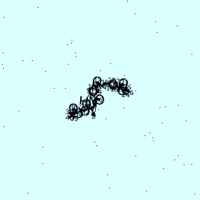 C#C[C@@H](CNC(=O)[C@@H]1CCCN(C(=O)CCC2CCN(C(=O)OC(C)(C)C)CC2)C1)C(=O)OCOC(=O)C(C)(C)C